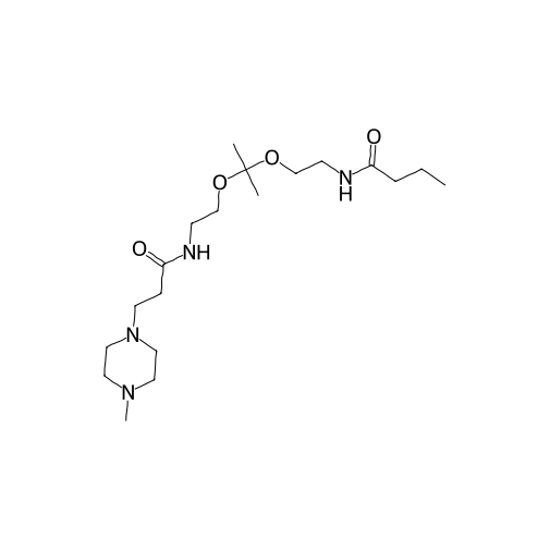 CCCC(=O)NCCOC(C)(C)OCCNC(=O)CCN1CCN(C)CC1